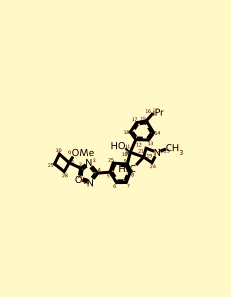 COC1(c2nc(-c3cccc([C@](O)(c4ccc(C(C)C)cc4)C4(C)CN(C)C4)c3)no2)CCC1